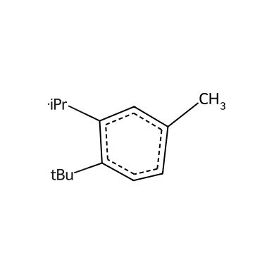 C[C](C)c1cc(C)ccc1C(C)(C)C